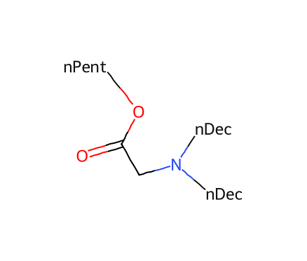 CCCCCCCCCCN(CCCCCCCCCC)CC(=O)OCCCCC